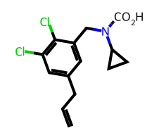 C=CCc1cc(Cl)c(Cl)c(CN(C(=O)O)C2CC2)c1